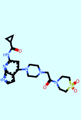 O=C(Nc1cc(N2CCN(CC(=O)N3CCS(=O)(=O)CC3)CC2)c2cc[nH]c2n1)C1CC1